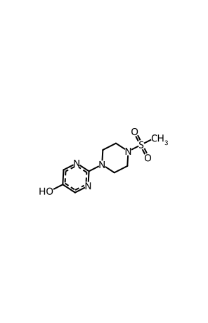 CS(=O)(=O)N1CCN(c2ncc(O)cn2)CC1